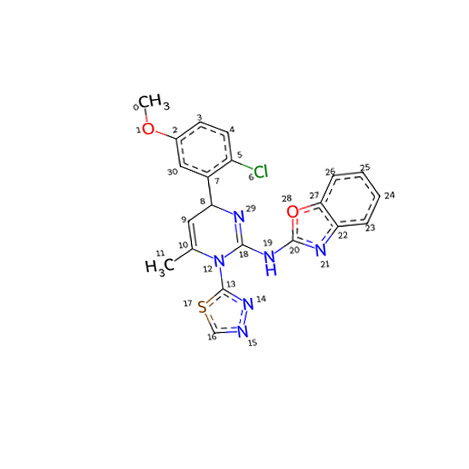 COc1ccc(Cl)c(C2C=C(C)N(c3nncs3)C(Nc3nc4ccccc4o3)=N2)c1